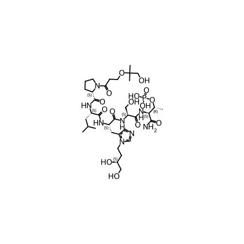 CC(C)C[C@H](NC(=O)[C@@H]1CCCN1C(=O)CCOC(C)(C)CO)C(=O)N[C@@H](Cc1cncn1CC[C@H](O)CO)C(=O)N[C@@H](CO)C(=O)N[C@H](C(N)=O)[C@@H](C)OP(=O)(O)O